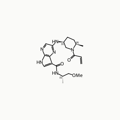 C=CC(=O)N1C[C@@H](Nc2cnc3[nH]cc(C(=O)N[C@@H](C)COC)c3n2)CC[C@H]1C